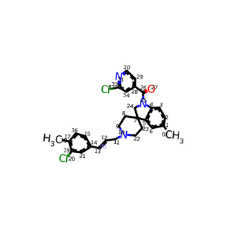 Cc1ccc2c(c1)C1(CCN(C/C=C/c3ccc(C)c(Cl)c3)CC1)CN2C(=O)c1ccnc(Cl)c1